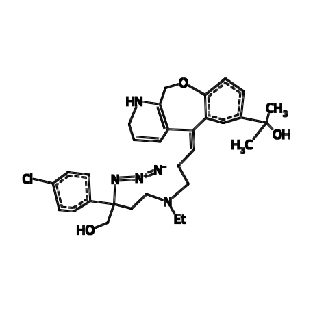 CCN(CC/C=C1\C2=C(COc3ccc(C(C)(C)O)cc31)NCC=C2)CCC(CO)(N=[N+]=[N-])c1ccc(Cl)cc1